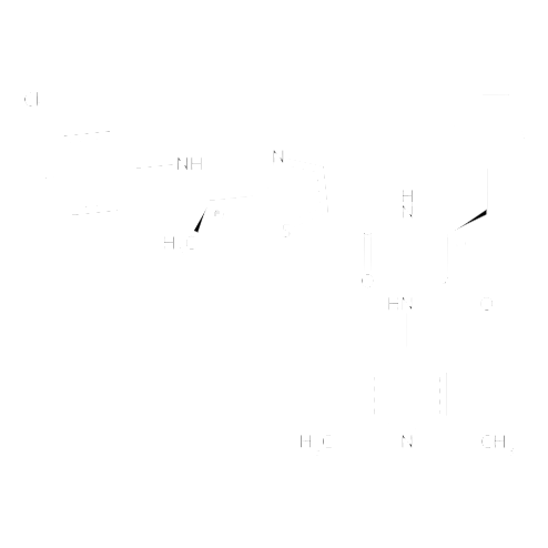 Cc1cc(NC(=O)[C@H](CC2CCCC2)NC(=O)c2cnc([C@@H](C)Nc3cccc(Cl)c3)s2)cc(C)n1